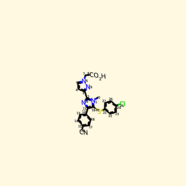 Cn1c(-c2ccn(CC(=O)O)n2)nc(-c2ccc(C#N)cc2)c1Sc1ccc(Cl)cc1